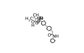 CC(C)C(NS(=O)(=O)c1ccc(-c2ccc(CC(=O)Nc3ccccc3)cc2)cc1)C(=O)O